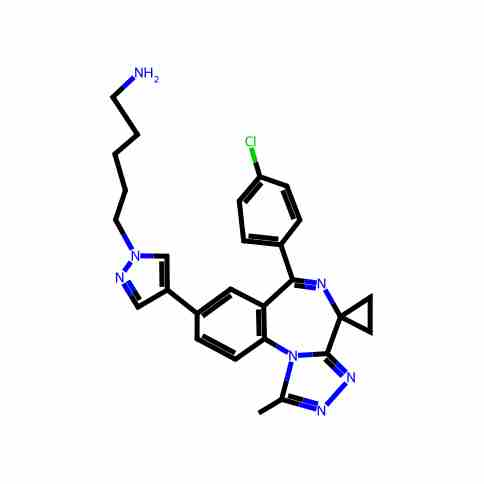 Cc1nnc2n1-c1ccc(-c3cnn(CCCCCN)c3)cc1C(c1ccc(Cl)cc1)=NC21CC1